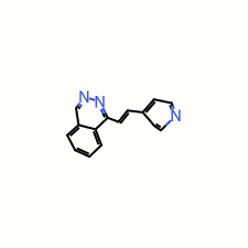 C(=Cc1nncc2ccccc12)c1ccncc1